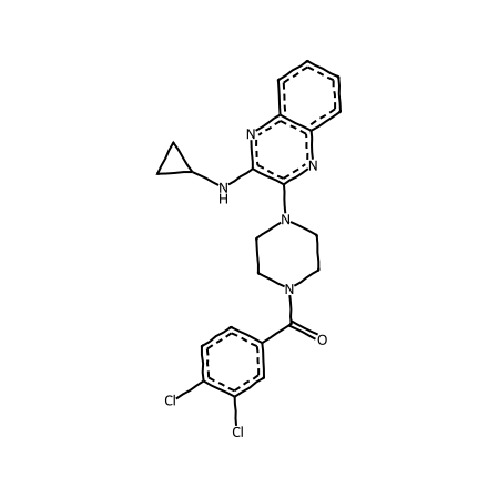 O=C(c1ccc(Cl)c(Cl)c1)N1CCN(c2nc3ccccc3nc2NC2CC2)CC1